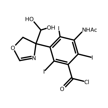 CC(=O)Nc1c(I)c(C(=O)Cl)c(I)c(C2(C(O)O)COC=N2)c1I